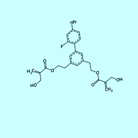 C=C(CO)C(=O)OCCc1cc(CCOC(=O)C(=C)CO)cc(-c2ccc(CCC)cc2F)c1